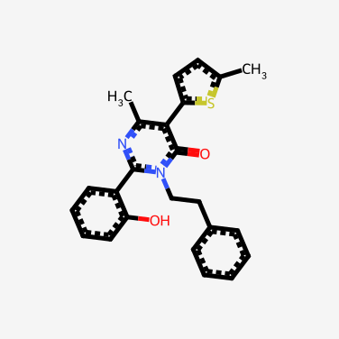 Cc1ccc(-c2c(C)nc(-c3ccccc3O)n(CCc3ccccc3)c2=O)s1